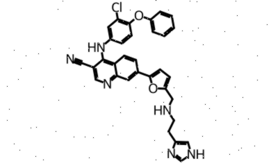 N#Cc1cnc2cc(-c3ccc(CNCCc4c[nH]cn4)o3)ccc2c1Nc1ccc(Oc2ccccc2)c(Cl)c1